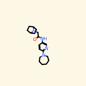 O=C(CN1C2CCC1CC2)Nc1ccc(N2CCCCCC2)nc1